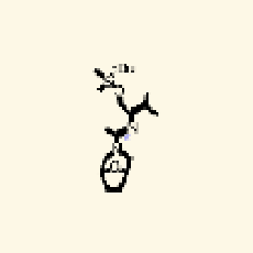 CC(C)=C(CO[Si](C)(C)C(C)(C)C)/N=C(\C)N1CC2CCC(C1)O2